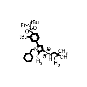 CCN(C(C)(C)C)S(=O)(=O)c1ccc(-c2cc(S(=O)(=O)NCC(C)(C)O)c(C)n2CC2CCCCC2)cc1C(C)(C)C